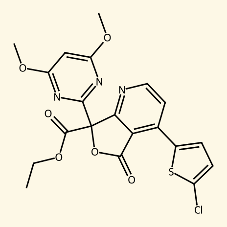 CCOC(=O)C1(c2nc(OC)cc(OC)n2)OC(=O)c2c(-c3ccc(Cl)s3)ccnc21